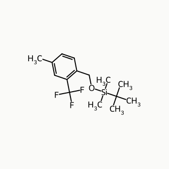 Cc1ccc(CO[Si](C)(C)C(C)(C)C)c(C(F)(F)F)c1